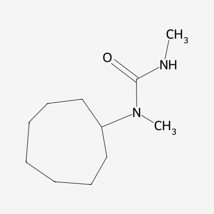 CNC(=O)N(C)C1CCCCCCC1